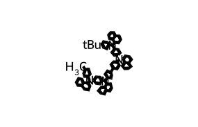 Cc1ccc(N(c2ccc(N(c3ccc(-c4ccc(N(c5ccc(N(c6ccc(C(C)(C)C)cc6)c6cccc7ccccc67)cc5)c5cccc6ccccc56)cc4)cc3)c3cccc4ccccc34)cc2)c2cccc3ccccc23)cc1